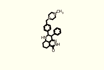 CN1CCN(Cc2ccc(C3NC4CCCc5c4c(n[nH]c5=O)C3c3ccccc3)cc2)CC1